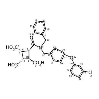 O=C(O)[C@H]1[C@H](C(=O)O)[C@H](C(=O)O)[C@H]1C(=O)N(Cc1ccccc1)Cc1ccc(Oc2cccc(Cl)c2)cc1